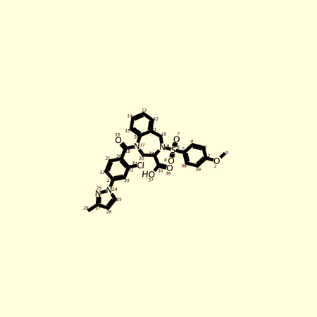 COc1ccc(S(=O)(=O)N2Cc3ccccc3N(C(=O)c3ccc(-n4ccc(C)n4)cc3Cl)CC2C(=O)O)cc1